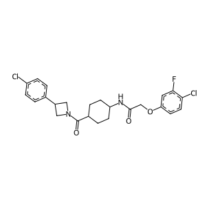 O=C(COc1ccc(Cl)c(F)c1)NC1CCC(C(=O)N2CC(c3ccc(Cl)cc3)C2)CC1